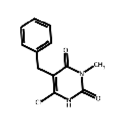 Cn1c(=O)[nH]c(Cl)c(Cc2ccccc2)c1=O